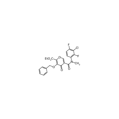 CCOC(=O)c1occ(C(=O)N(C)c2ccc(F)c(Cl)c2F)c(=O)c1OCc1ccccc1